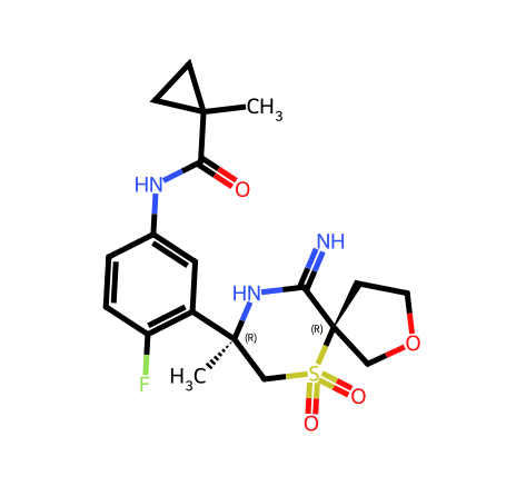 CC1(C(=O)Nc2ccc(F)c([C@]3(C)CS(=O)(=O)[C@]4(CCOC4)C(=N)N3)c2)CC1